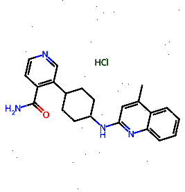 Cc1cc(NC2CCC(c3cnccc3C(N)=O)CC2)nc2ccccc12.Cl